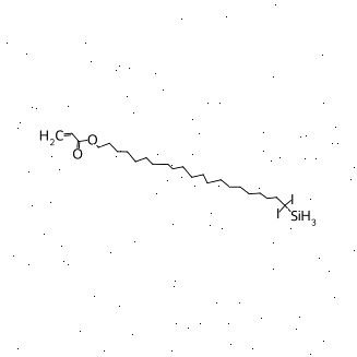 C=CC(=O)OCCCCCCCCCCCCCCCCCCCCC([SiH3])(I)I